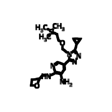 C[Si](C)(C)CCOCn1c(-c2cnc(NCC3CCO3)c(N)c2)nnc1C1CC1